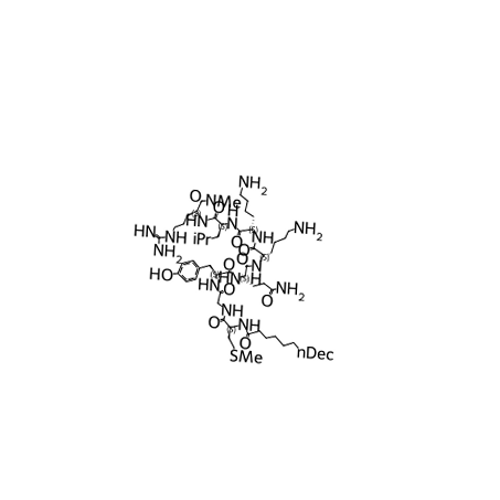 CCCCCCCCCCCCCCCC(=O)N[C@@H](CCSC)C(=O)NCC(=O)N[C@@H](Cc1ccc(O)cc1)C(=O)N[C@@H](CCC(N)=O)C(=O)N[C@@H](CCCCN)C(=O)N[C@@H](CCCCN)C(=O)N[C@@H](CC(C)C)C(=O)N[C@@H](CCCNC(=N)N)C(=O)NC